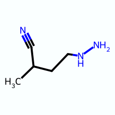 CC(C#N)CCNN